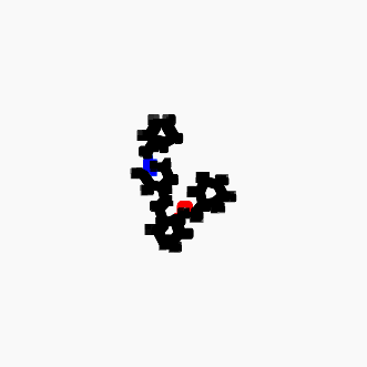 C(=CC1CCN(Cc2ccccc2)CC1)c1ccccc1OCC1CCCCC1